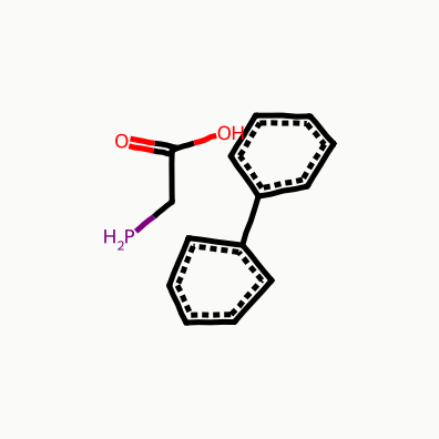 O=C(O)CP.c1ccc(-c2ccccc2)cc1